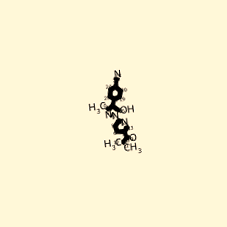 Cc1nn(-c2ccc(C(=O)C(C)C)cn2)c(O)c1-c1ccc(C#N)cc1